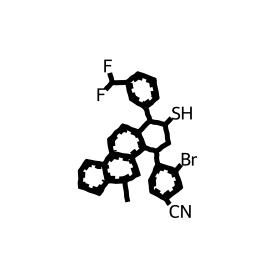 Cc1cc2c3c(ccc2c2ccccc12)C(c1cccc(C(F)F)c1)C(S)CC3c1ccc(C#N)cc1Br